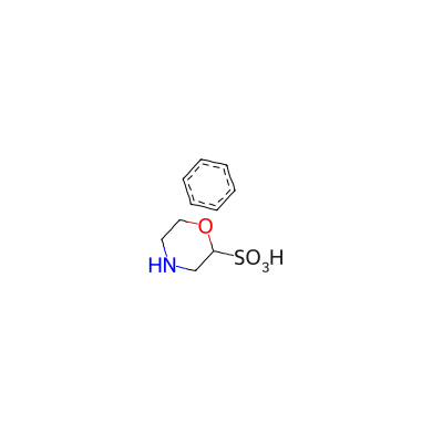 O=S(=O)(O)C1CNCCO1.c1ccccc1